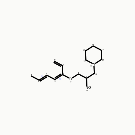 C=C/C(=C\C=C\C)OCC(CN1CCCCC1)N=O